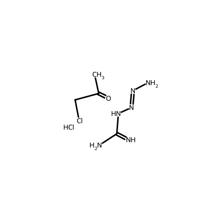 CC(=O)CCl.Cl.N=C(N)NN=NN